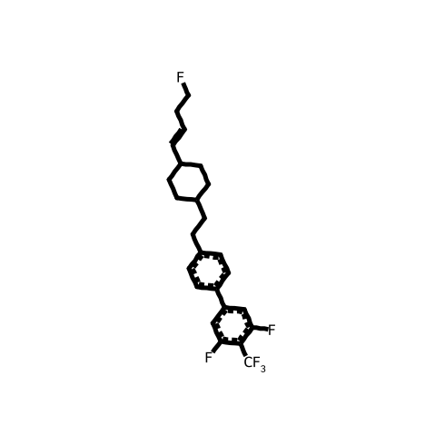 FCCC=CC1CCC(CCc2ccc(-c3cc(F)c(C(F)(F)F)c(F)c3)cc2)CC1